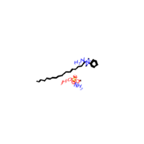 CCCCCCCCCCCCCCCCC(N)[N+](C)(C)c1ccccc1.COS(=O)(=O)O.N